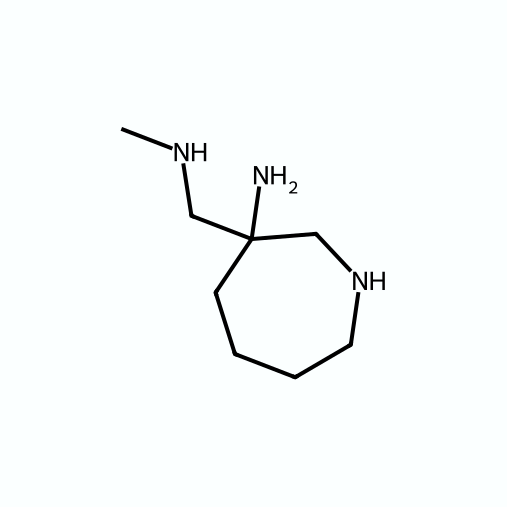 CNCC1(N)CCCCNC1